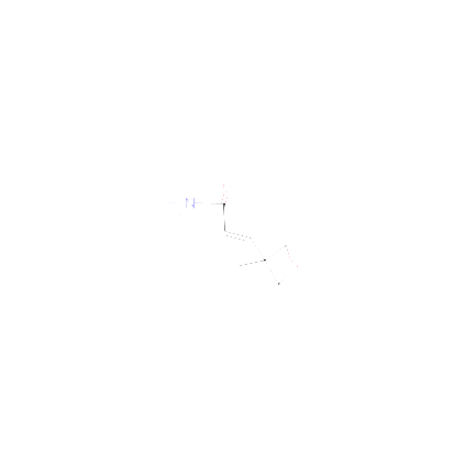 CC1(/C=C/C(N)=O)COC1